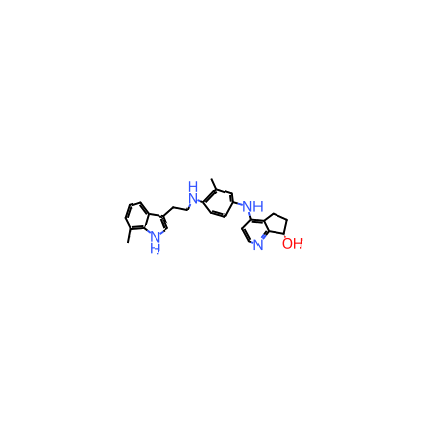 Cc1cc(Nc2ccnc3c2CC[C@@H]3O)ccc1NCCc1c[nH]c2c(C)cccc12